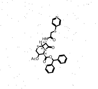 CC(=O)OC1CS[C@@H]2[C@H](NC(=O)CSc3ccncc3)C(=O)N2[C@H]1C(=O)OC(c1ccccc1)c1ccccc1